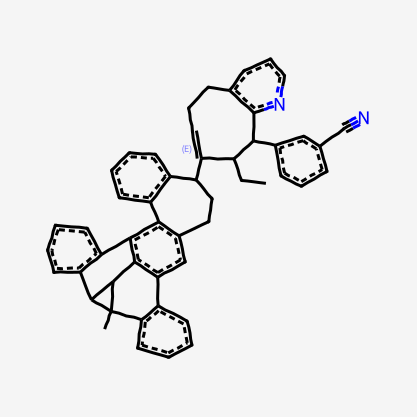 CCC1/C(C2CCc3cc4c5c(c3-c3ccccc32)-c2ccccc2C2C5C2(C)c2ccccc2-4)=C\CCc2cccnc2C1c1cccc(C#N)c1